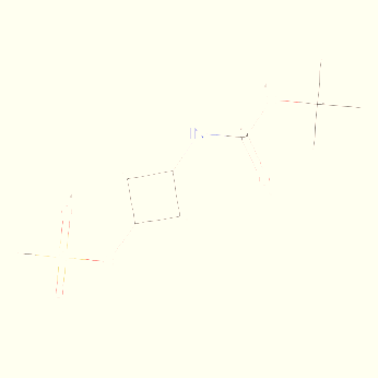 CC(C)(C)OC(=O)NC1CC(OS(C)(=O)=O)C1